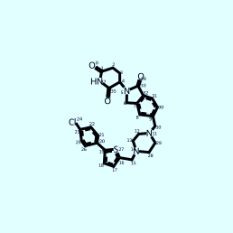 O=C1CCC(N2Cc3cc(CN4CCN(Cc5ccc(-c6ccc(Cl)cc6)s5)CC4)ccc3C2=O)C(=O)N1